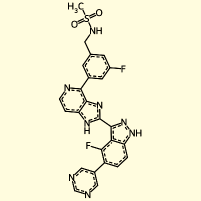 CS(=O)(=O)NCc1cc(F)cc(-c2nccc3[nH]c(-c4n[nH]c5ccc(-c6cncnc6)c(F)c45)nc23)c1